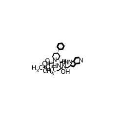 CC[C@](O)(NCc1cc2cnccc2[nH]1)NC(=O)[C@H]1C[C@@H](c2ccccc2)CCN1CC(=O)OC(C)(C)C